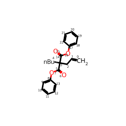 C=CCC(CCCC)(C(=O)Oc1ccccc1)C(=O)Oc1ccccc1